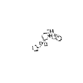 O=C(OCc1ccccc1)N1CCCC(O)C(NCc2ccccn2)C1